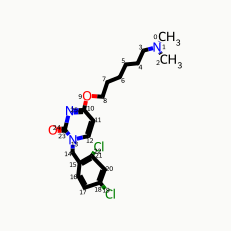 CN(C)CCCCCCOc1ccn(Cc2ccc(Cl)cc2Cl)c(=O)n1